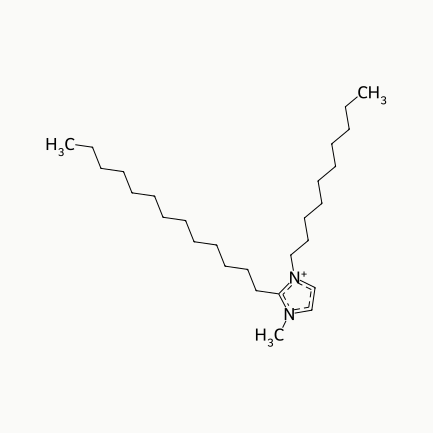 CCCCCCCCCCCCCc1n(C)cc[n+]1CCCCCCCCCC